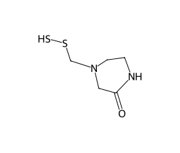 O=C1CN(CSS)CCN1